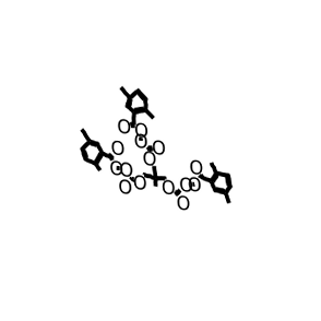 Cc1ccc(C)c(C(=O)OOC(=O)OCC(C)(COC(=O)OOC(=O)c2cc(C)ccc2C)COC(=O)OOC(=O)c2cc(C)ccc2C)c1